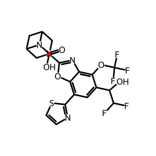 O=C(O)N1C2CC1CN(c1nc3c(OC(F)(F)F)c(C(O)C(F)F)cc(-c4nccs4)c3o1)C2